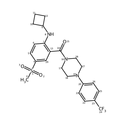 CS(=O)(=O)c1ccc(NC2CCC2)c(C(=O)N2CCN(c3ccc(C(F)(F)F)cc3)CC2)c1